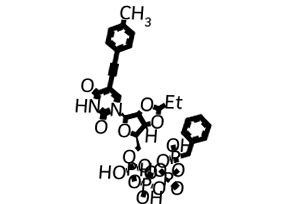 CCC1OC2[C@@H](O1)[C@@H](COP(=O)(O)OP(=O)(O)OP(=O)(O)OP(=O)(O)Cc1ccccc1)O[C@H]2n1cc(C#Cc2ccc(C)cc2)c(=O)[nH]c1=O